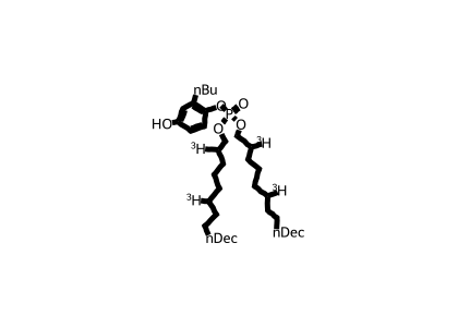 [3H]C(CCCCCCCCCCCC)CCCC([3H])COP(=O)(OCC([3H])CCCC([3H])CCCCCCCCCCCC)Oc1ccc(O)cc1CCCC